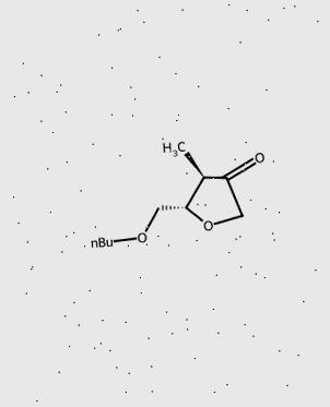 CCCCOC[C@H]1OCC(=O)[C@@H]1C